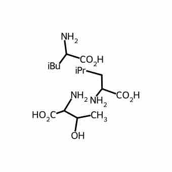 CC(C)CC(N)C(=O)O.CC(O)C(N)C(=O)O.CCC(C)C(N)C(=O)O